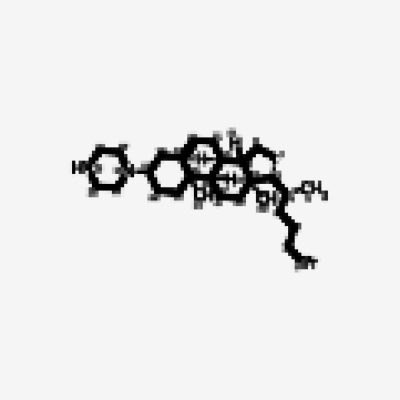 CC(C)CCC[C@@H](C)[C@H]1CC[C@H]2[C@@H]3CC=C4C[C@@H](N5CCNCC5)CC[C@]4(C)[C@H]3CC[C@]12C